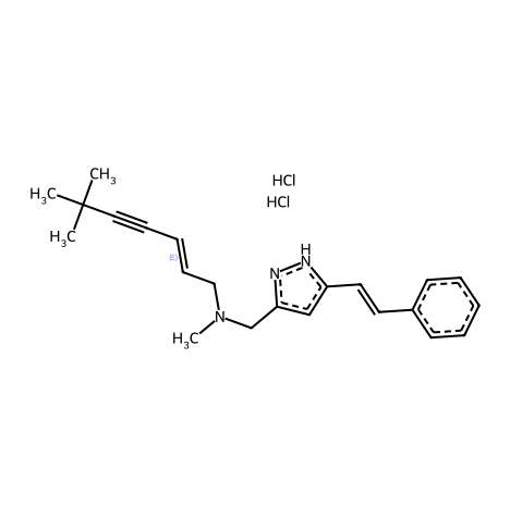 CN(C/C=C/C#CC(C)(C)C)Cc1cc(C=Cc2ccccc2)[nH]n1.Cl.Cl